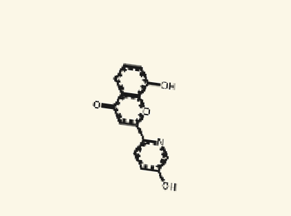 O=c1cc(-c2ccc(O)cn2)oc2c(O)cccc12